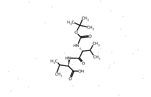 CC(C)[C@@H](NC(=O)[C@H](NC(=O)OC(C)(C)C)C(C)C)C(=O)O